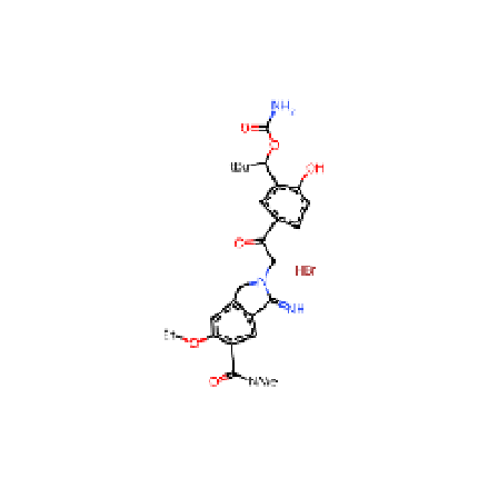 Br.CCOc1cc2c(cc1C(=O)NC)C(=N)N(CC(=O)c1ccc(O)c(C(OC(N)=O)C(C)(C)C)c1)C2